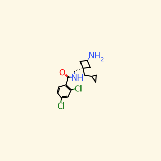 N[C@H]1C[C@](CNC(=O)c2ccc(Cl)cc2Cl)(CC2CC2)C1